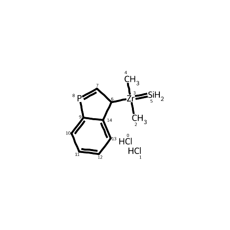 Cl.Cl.[CH3][Zr]([CH3])(=[SiH2])[CH]1C=Pc2ccccc21